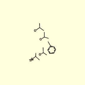 CC(C)[O-].CC(C)[O-].CC(C)[O-].CC(C)[O-].Cc1ccccc1.[Ti+4]